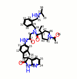 CCC1(C(=O)N(CC(=O)Nc2ccc3c(c2)C[C@@]2(C3)C(=O)Nc3ncccc32)Cc2ccccc2CNC(C)C)CCN(C(C)=O)CC1